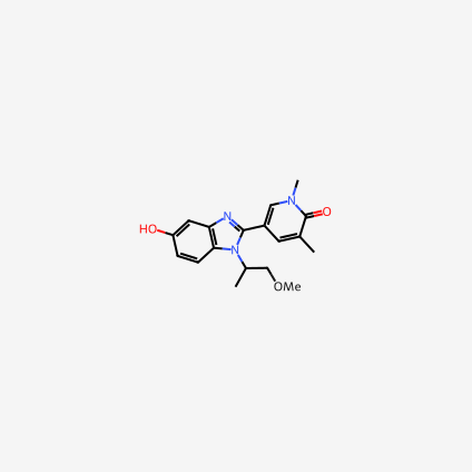 COCC(C)n1c(-c2cc(C)c(=O)n(C)c2)nc2cc(O)ccc21